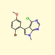 COc1ccc(Br)c(-c2cn(C)c3ncnc(Cl)c23)c1